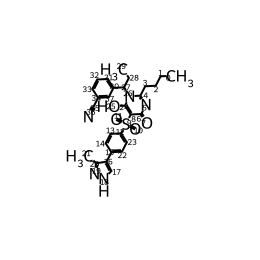 CCCCc1nc(=O)c(S(=O)(=O)c2ccc(-c3c[nH]nc3C)cc2)c(O)n1C(CC)c1cccc(C#N)c1